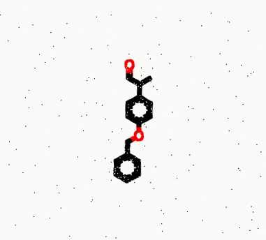 CC(C=O)c1ccc(OCc2ccccc2)cc1